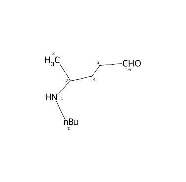 CCCCNC(C)CCC=O